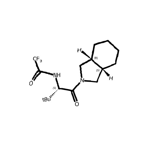 CC(C)(C)[C@H](NC(=O)C(F)(F)F)C(=O)N1C[C@H]2CCCC[C@H]2C1